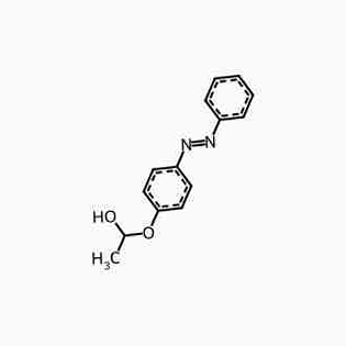 CC(O)Oc1ccc(/N=N/c2ccccc2)cc1